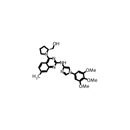 COc1cc(-n2cnc(Nc3nc(N4CCC[C@H]4CO)c4ccc(C)cc4n3)c2)cc(OC)c1OC